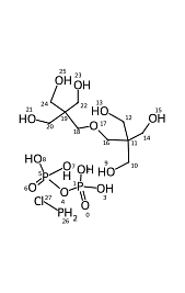 O=P(O)(O)OP(=O)(O)O.OCC(CO)(CO)COCC(CO)(CO)CO.PCl